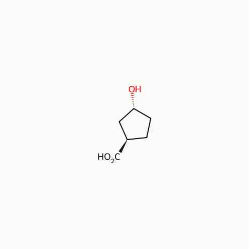 O=C(O)[C@@H]1CC[C@@H](O)C1